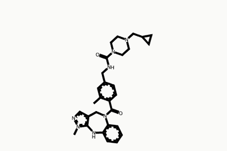 Cc1cc(CNC(=O)N2CCN(CC3CC3)CC2)ccc1C(=O)N1Cc2cnn(C)c2Nc2ccccc21